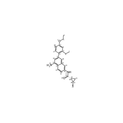 CCOc1cc(CC)c(-c2cc(N)c3cnc(NC(=O)[C@@H]4C[C@H]4C)cc3c2)cn1